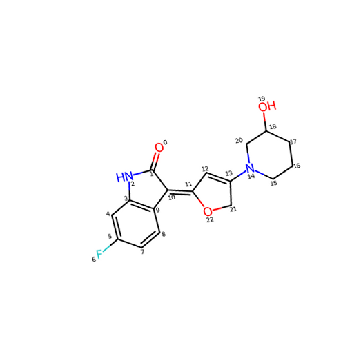 O=C1Nc2cc(F)ccc2/C1=C1/C=C(N2CCCC(O)C2)CO1